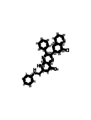 O=c1cc(CNc2ccccc2)[nH]c2nc(-c3ccccc3)c(-c3cc(Cl)c4ncccc4c3)nc12